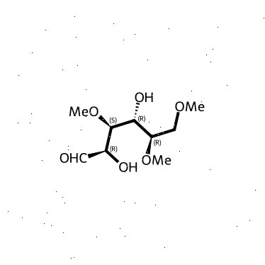 COC[C@@H](OC)[C@@H](O)[C@H](OC)[C@@H](O)C=O